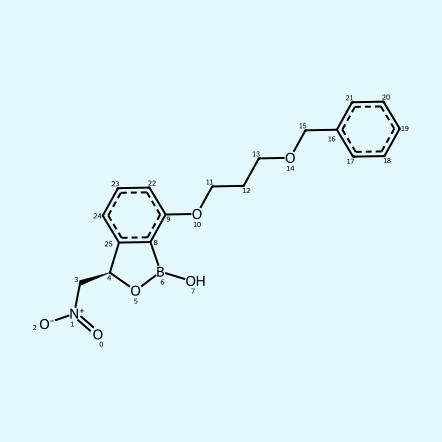 O=[N+]([O-])C[C@@H]1OB(O)c2c(OCCCOCc3ccccc3)cccc21